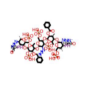 CC1O[C@@H](O[C@@H]2C(COS(=O)(=O)O)O[C@@H](O[C@@H]3C(C)O[C@@H](O[C@@H]4C(COS(=O)(=O)O)O[C@@H](C)C(N=[N+]=[N-])[C@H]4PBB=O)C(OS(=O)(=O)O)[C@@H]3OCc3ccccc3)C(N=[N+]=[N-])[C@H]2OS(=O)(=O)O)C(OC(=O)c2ccccc2)[C@@H](C)[C@@H]1O[C@@H]1OC(COS(=O)(=O)O)[C@@H](C)[C@H](PBB=O)C1N=[N+]=[N-]